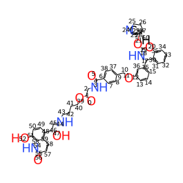 O=C(CNC(=O)c1ccc(COc2cccc(C(NC(=O)O[C@H]3CN4CCC3CC4)c3ccccc3)c2)cc1)OCCCCNCC(O)c1ccc(O)c2[nH]c(=O)ccc12